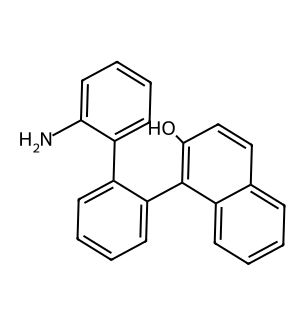 Nc1ccccc1-c1ccccc1-c1c(O)ccc2ccccc12